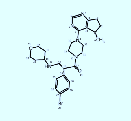 C[C@@H]1CCc2ncnc(N3CCN(C(=O)[C@H](CNC4CCOCC4)c4ccc(Br)cc4)CC3)c21